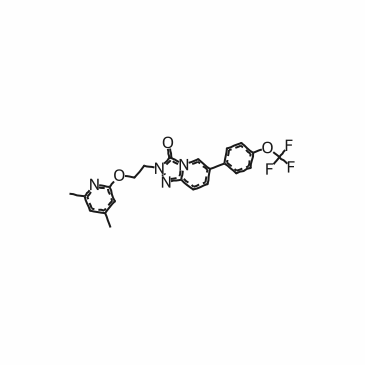 Cc1cc(C)nc(OCCn2nc3ccc(-c4ccc(OC(F)(F)F)cc4)cn3c2=O)c1